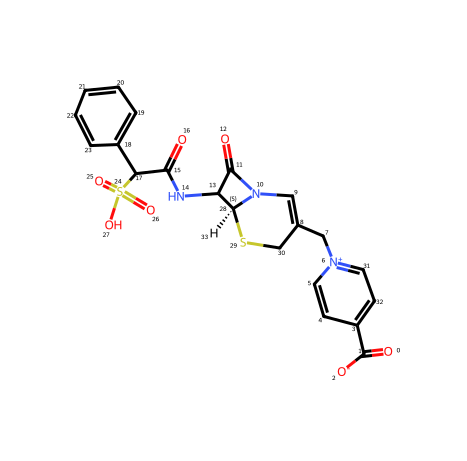 O=C([O-])c1cc[n+](CC2=CN3C(=O)C(NC(=O)C(c4ccccc4)S(=O)(=O)O)[C@@H]3SC2)cc1